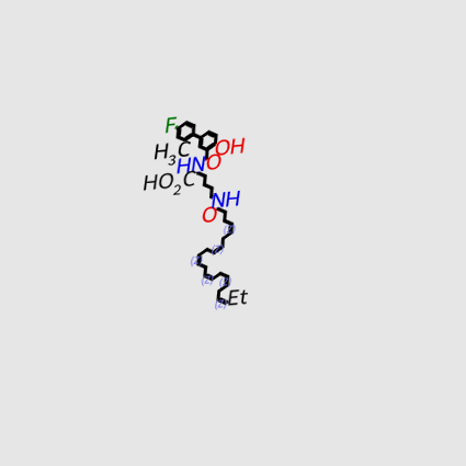 CC/C=C\C/C=C\C/C=C\C/C=C\C/C=C\C/C=C\CCC(=O)NCCCCC(NC(=O)c1cc(-c2ccc(F)cc2C)ccc1O)C(=O)O